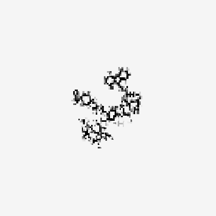 COC(=O)C1O[C@@H](CCc2cc(NC(=O)[C@H](C)NC(=O)[C@@H](NC(=O)OCC3c4ccccc4-c4ccccc43)C(C)C)ccc2COC(=O)Oc2ccc([N+](=O)[O-])cc2)[C@H](OC(C)=O)[C@@H](OC(C)=O)[C@@H]1OC(C)=O